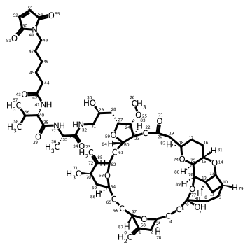 C=C1C[C@@H]2CC[C@@]3(O)CC[C@@H]4C[C@@H]5C4O[C@H]4CC[C@H](CC(=O)C[C@@H]6[C@@H](OC)[C@@H](C[C@H](O)CNC(=O)[C@H](C)NC(=O)[C@@H](NC(=O)CCCCCN7C(=O)C=CC7=O)C(C)C)O[C@H]6C[C@H]6O[C@@H](CC[C@@H]1O2)C[C@@H](C)C6=C)O[C@@H]4[C@@H]5O3